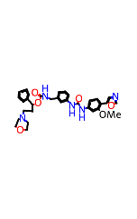 COc1cc(NC(=O)Nc2cccc(CNC(=O)OC(CCN3CCOCC3)c3ccccc3)c2)ccc1-c1cnco1